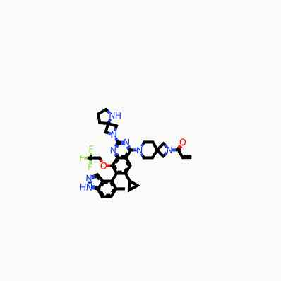 C=CC(=O)N1CC2(CCN(c3nc(N4CC5(CCCN5)C4)nc4c(OCC(F)(F)F)c(-c5c(C)ccc6[nH]ncc56)c(C5CC5)cc34)CC2)C1